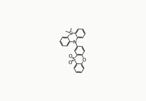 C[Si]1(C)c2ccccc2N(c2ccc3c(c2)S(=O)(=O)c2ccccc2O3)c2ccccc21